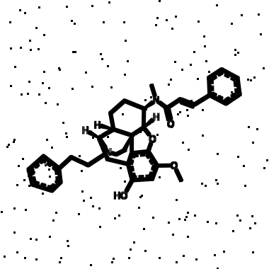 COc1cc(O)c2c3c1O[C@H]1[C@H](N(C)C(=O)C=Cc4ccccc4)CC[C@H]4[C@@H](C2)N(CCc2ccccc2)CC[C@@]341